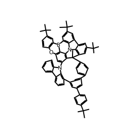 CC(C)(C)c1ccc(-c2cc3cc(c2)-c2cccc4c5ccccc5n(c24)-c2cc4c5c6c2C(C)(c2ccc-3cc2)c2cc(C(C)(C)C)cc3c7cc(C(C)(C)C)cc(c7n-6c23)B5c2cc(C(C)(C)C)ccc2O4)cc1